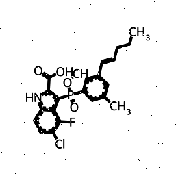 CCC/C=C/c1cc(C)cc(P(=O)(OC)c2c(C(=O)O)[nH]c3ccc(Cl)c(F)c23)c1